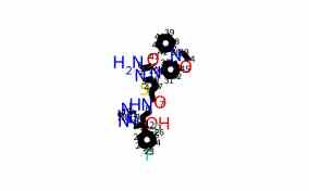 Nc1nc2sc(C(=O)NCCC(O)(Cn3cncn3)c3ccc(F)cc3F)cc2n(-c2ccc3c(c2)N(c2ccccc2)CCO3)c1=O